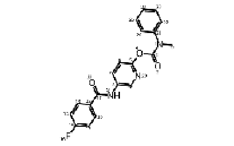 CN(C(=O)Oc1ccc(NC(=O)c2ccc(F)cc2)cn1)c1ccccc1